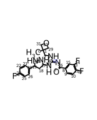 CC1(CN/C(=N/C(=O)c2ccc(F)c(F)c2)NC2CC(c3ccc(F)cc3)NN2)COC1